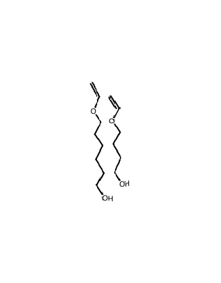 C=COCCCCCCO.C=COCCCCO